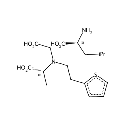 CC(C)C[C@H](N)C(=O)O.C[C@H](C(=O)O)N(CCc1cccs1)CC(=O)O